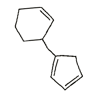 C1=CCC(C2C=CCCC2)=C1